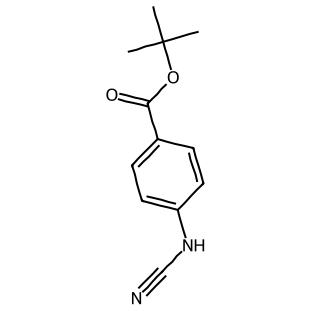 CC(C)(C)OC(=O)c1ccc(NC#N)cc1